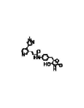 Cn1cc(-c2ccncc2/C=C/C(=O)Nc2ccc(CC3OC(=O)NC3O)cc2)cn1